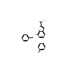 Cc1ccc(Oc2cc(OCc3ccccc3)c3[nH]c(C(N)=O)cc3c2)cc1